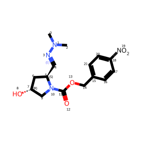 CN(C)/N=C/[C@@H]1C[C@@H](O)CN1C(=O)OCc1ccc([N+](=O)[O-])cc1